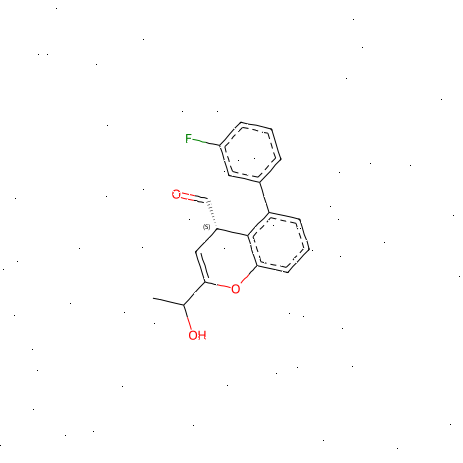 CC(O)C1=C[C@H](C=O)c2c(cccc2-c2cccc(F)c2)O1